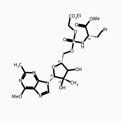 CCOC(=O)COP(=O)(N[C@@H](CC(C)C)C(=O)OC)OC[C@H]1O[C@@H](n2cnc3c(OC)nc(C)nc32)[C@@](C)(O)C1O